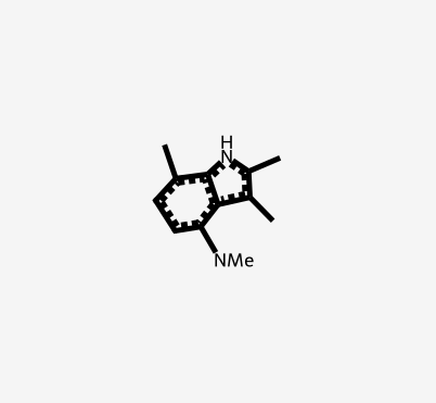 CNc1ccc(C)c2[nH]c(C)c(C)c12